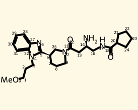 COCCCn1c([C@@H]2CCCN(C(=O)C[C@@H](N)CNC(=O)C3CCCC3)C2)nc2ccccc21